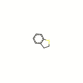 [CH]1CSc2ccccc21